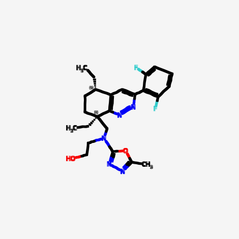 CC[C@H]1CC[C@](CC)(CN(CCO)c2nnc(C)o2)c2nnc(-c3c(F)cccc3F)cc21